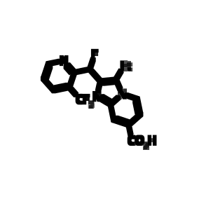 CCc1c(C(F)c2ncccc2C(F)(F)F)nc2cc(C(=O)O)ccn12